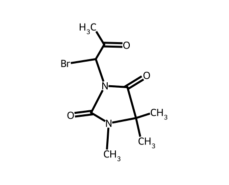 CC(=O)C(Br)N1C(=O)N(C)C(C)(C)C1=O